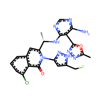 Cc1nnc(-c2c(N)ncnc2N[C@@H](C)c2cc3cccc(Cl)c3c(=O)n2-c2cc(CF)[nH]n2)o1